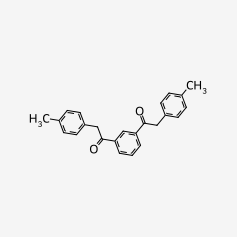 Cc1ccc(CC(=O)c2cccc(C(=O)Cc3ccc(C)cc3)c2)cc1